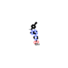 C#Cc1ccc([C@@H](C)n2cnc3c(N4CCN(C(=O)OC(C)(C)C)CC4)ncnc32)cc1